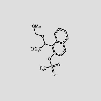 CCOC(=O)C(OCOC)c1c(OS(=O)(=O)C(F)(F)F)ccc2ccccc12